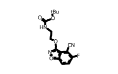 CC(C)(C)OC(=O)NCCOc1noc2ccc(F)c(C#N)c12